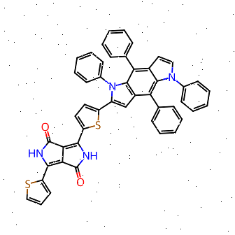 O=C1NC(c2ccc(-c3cc4c(-c5ccccc5)c5c(ccn5-c5ccccc5)c(-c5ccccc5)c4n3-c3ccccc3)s2)=C2C(=O)NC(c3cccs3)=C12